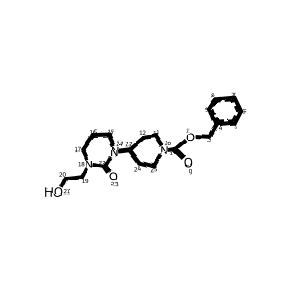 O=C(OCc1ccccc1)N1CCC(N2CCCN(CCO)C2=O)CC1